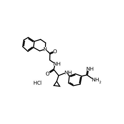 Cl.N=C(N)c1cccc(NC(C(=O)NCC(=O)N2CCc3ccccc3C2)C2CC2)c1